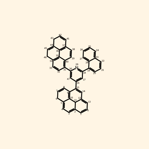 C1=CC2=CC=C3CC=CC4=C3C2C(=C1)C=C4c1cc(-c2cccc3ccccc23)nc(-c2ccc3c4c5c(ccc24)C=CCC5=CC3)c1